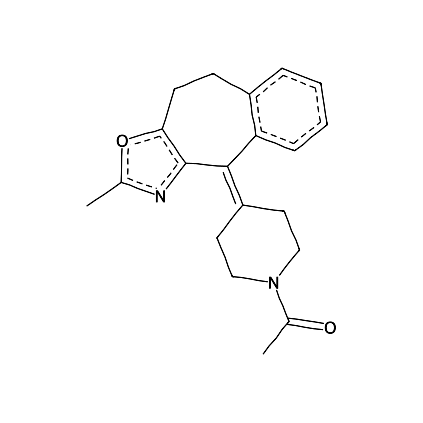 CC(=O)N1CCC(=C2c3ccccc3CCc3oc(C)nc32)CC1